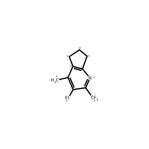 CCc1c(C(F)(F)F)nc2c(c1C)CCC2